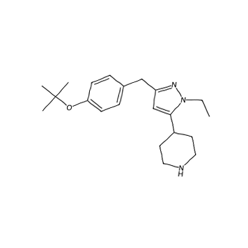 CCn1nc(Cc2ccc(OC(C)(C)C)cc2)cc1C1CCNCC1